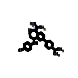 C/C(N)=C1/NCCC(Nc2ccc(Cl)cc2)c2cc(C3=CCN(C(C)C)CC3)ccc21